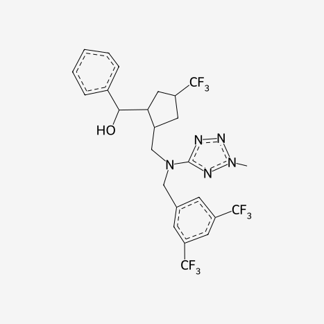 Cn1nnc(N(Cc2cc(C(F)(F)F)cc(C(F)(F)F)c2)CC2CC(C(F)(F)F)CC2C(O)c2ccccc2)n1